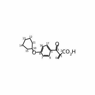 C=C(C(=O)O)C(=O)c1ccc(OC2CCCCC2)cc1